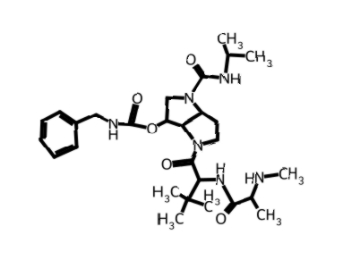 CNC(C)C(=O)NC(C(=O)N1CCC2C1C(OC(=O)NCc1ccccc1)CN2C(=O)NC(C)C)C(C)(C)C